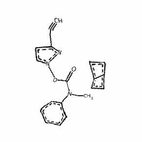 C#Cc1ccn(OC(=O)N(C)c2ccccc2)n1.c1cc2ccc1-2